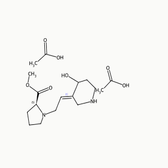 CC(=O)O.CC(=O)O.COC(=O)[C@@H]1CCCN1C/C=C1\CNCCC1O